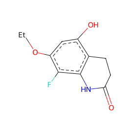 CCOc1cc(O)c2c(c1F)NC(=O)CC2